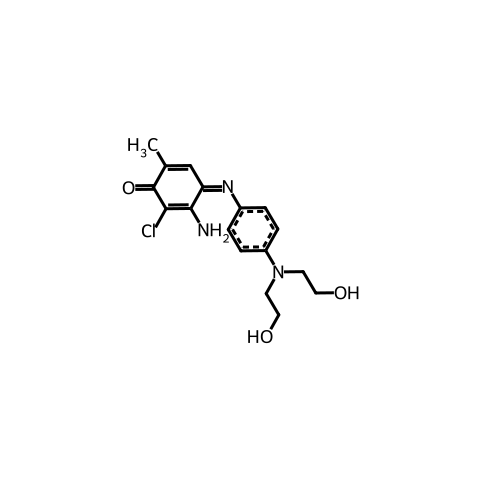 CC1=C/C(=N/c2ccc(N(CCO)CCO)cc2)C(N)=C(Cl)C1=O